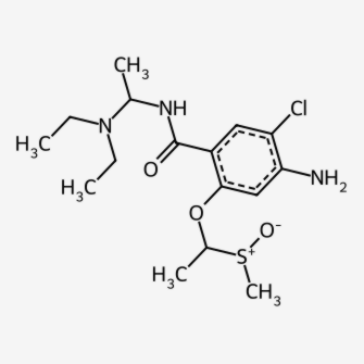 CCN(CC)C(C)NC(=O)c1cc(Cl)c(N)cc1OC(C)[S+](C)[O-]